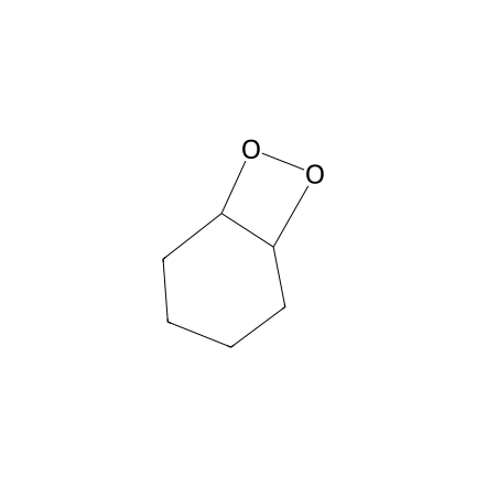 C1CCC2OOC2C1